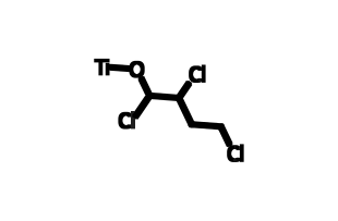 ClCCC(Cl)C(Cl)[O][Ti]